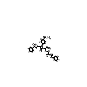 COc1ccc(C2C(CCC(O)c3ccccc3)C(=O)N2C(CBr)CCC(=O)NCc2ccccc2)cc1